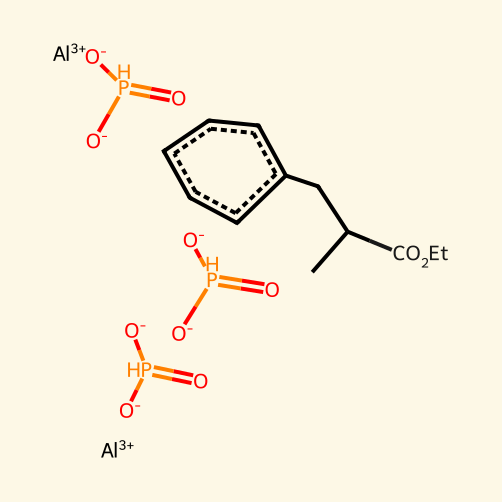 CCOC(=O)C(C)Cc1ccccc1.O=[PH]([O-])[O-].O=[PH]([O-])[O-].O=[PH]([O-])[O-].[Al+3].[Al+3]